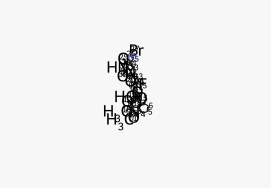 CON(c1ccccc1)[C@@H](C)C(=O)OP(=O)(O)OC[C@H]1O[C@@H](n2cc(/C=C/Br)c(=O)[nH]c2=O)C[C@@H]1F